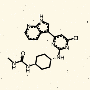 CNC(=O)N[C@H]1CC[C@H](Nc2nc(Cl)cc(-c3c[nH]c4ncccc34)n2)CC1